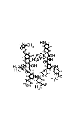 CC(=O)N1CCC(Nc2cc(C(=O)NC[C@@H](O)[C@@H]3Cc4ccc(O)cc4CN3C(=O)OC(C)(C)C)cc(N3CCCCC3)c2)CC1.CC(=O)N1CCC(Nc2cc(C(=O)NC[C@@H](O)[C@@H]3Cc4ccc(OCc5ocnc5C)cc4CN3C(=O)OC(C)(C)C)cc(N3CCCCC3)c2)CC1